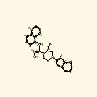 CC(C)C1CN(c2nc3ccccc3o2)CCN1/C(=N\C#N)Nc1cccc2ncccc12